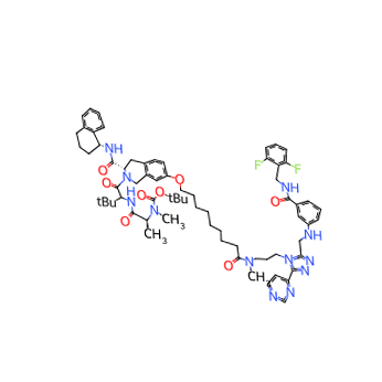 C[C@@H](C(=O)NC(C(=O)N1Cc2cc(OCCCCCCCCC(=O)N(C)CCCn3c(CNc4cccc(C(=O)NCc5c(F)cccc5F)c4)nnc3-c3ccncn3)ccc2C[C@H]1C(=O)N[C@@H]1CCCc2ccccc21)C(C)(C)C)N(C)C(=O)OC(C)(C)C